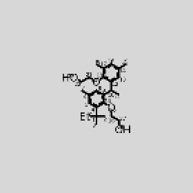 CCC(C)(C)c1cc(C)cc(C(C)c2cc(C)cc(C)c2OCCO)c1OCCO